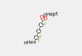 CCCCCCCC1OCC(c2ccc(-c3ccc(-c4ccc(CCCCCC)c(F)c4F)cc3)cc2F)CO1